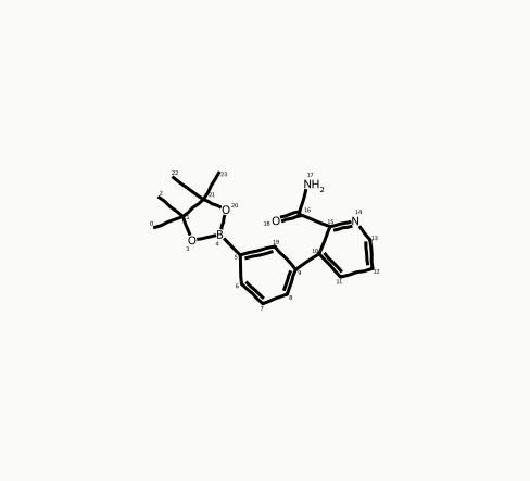 CC1(C)OB(c2cccc(-c3cccnc3C(N)=O)c2)OC1(C)C